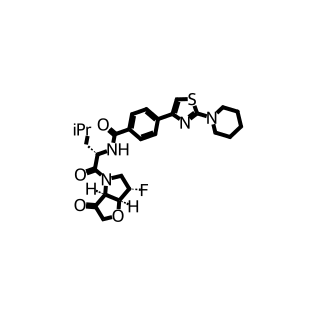 CC(C)C[C@H](NC(=O)c1ccc(-c2csc(N3CCCCC3)n2)cc1)C(=O)N1C[C@H](F)[C@H]2OCC(=O)[C@H]21